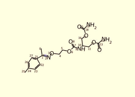 C/C(=N\OCCOC(=O)NC(COC(N)=O)COC(N)=O)c1ccc(C)cc1